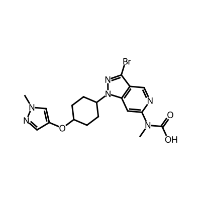 CN(C(=O)O)c1cc2c(cn1)c(Br)nn2C1CCC(Oc2cnn(C)c2)CC1